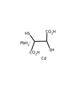 O=C(O)C(S)C(S)C(=O)O.[Cd].[PbH2]